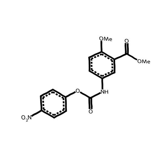 COC(=O)c1cc(NC(=O)Oc2ccc([N+](=O)[O-])cc2)ccc1OC